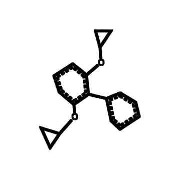 c1ccc(-c2c(OC3CC3)cccc2OC2CC2)cc1